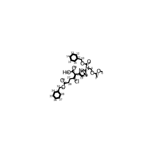 COC(C)OCN(C(=O)OCc1ccccc1)n1ncc(C(C(=O)O)=C(Cl)CCC(=O)OCc2ccccc2)n1